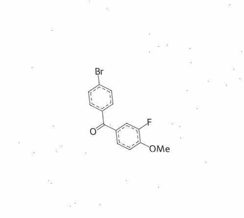 COc1ccc(C(=O)c2ccc(Br)cc2)cc1F